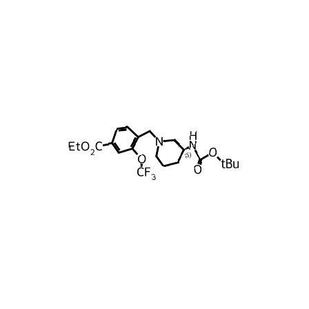 CCOC(=O)c1ccc(CN2CCC[C@H](NC(=O)OC(C)(C)C)C2)c(OC(F)(F)F)c1